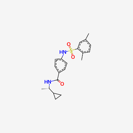 Cc1ccc(C)c(S(=O)(=O)Nc2ccc(C(=O)N[C@@H](C)C3CC3)cc2)c1